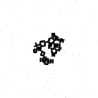 CC(C)n1cnc2cc(-c3ccc4c(c3)N([C@H]3C[C@@H](N5C[C@H]6CC[C@@H]5C6)C3)C(=O)C4(C)C)nc(Nc3c(F)cncc3F)c21